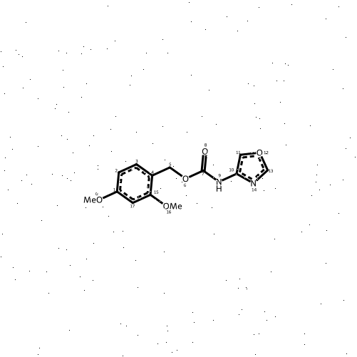 COc1ccc(COC(=O)Nc2cocn2)c(OC)c1